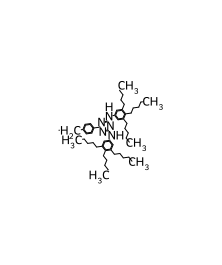 [CH2]c1ccc(-c2nc(Nc3cc(CCCCC)c(CCCCC)c(CCCCC)c3)nc(Nc3cc(CCCCC)c(CCCCC)c(CCCCC)c3)n2)cc1